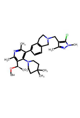 Cc1nn(C)c(Cl)c1CN1CCc2cc(-c3c(C)nc(C)c([C@H](OC(C)(C)C)C(=O)O)c3N3CCC(C)(C)CC3)ccc2C1